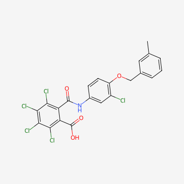 Cc1cccc(COc2ccc(NC(=O)c3c(Cl)c(Cl)c(Cl)c(Cl)c3C(=O)O)cc2Cl)c1